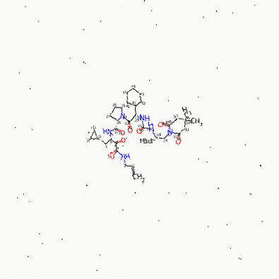 C=CCNC(=O)C(=O)C(CC1CC1)NC(=O)[C@@H]1CCCN1C(=O)[C@@H](NC(=O)N[C@H](CN1C(=O)CC(C)(C)CC1=O)C(C)(C)C)C1CCCCC1